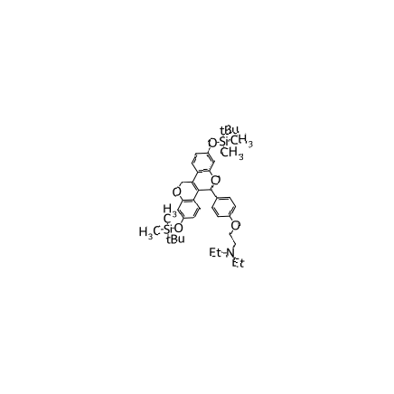 CCN(CC)CCOc1ccc(C2Oc3cc(O[Si](C)(C)C(C)(C)C)ccc3C3=C2c2ccc(O[Si](C)(C)C(C)(C)C)cc2OC3)cc1